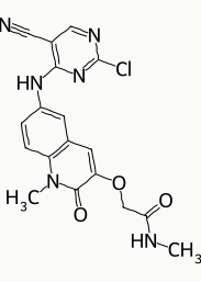 CNC(=O)COc1cc2cc(Nc3nc(Cl)ncc3C#N)ccc2n(C)c1=O